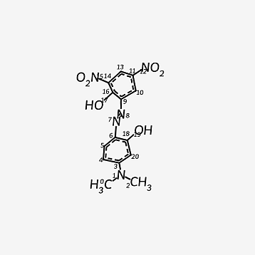 CN(C)c1ccc(N=Nc2cc([N+](=O)[O-])cc([N+](=O)[O-])c2O)c(O)c1